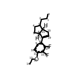 CCCC1CC[C@H]2C(c3ccc(OCC)c(F)c3F)=CC[C@@H]12